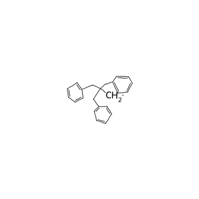 [CH2]C(Cc1ccccc1)(Cc1ccccc1)Cc1ccccc1